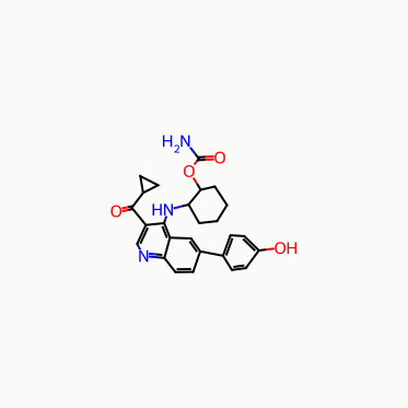 NC(=O)OC1CCCCC1Nc1c(C(=O)C2CC2)cnc2ccc(-c3ccc(O)cc3)cc12